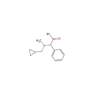 CC(C)C(=O)C(c1ccccc1)N(C)CC1CC1